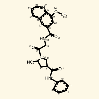 N#CC1CC(C(=O)Nc2ccccc2)CN1C(=O)CNC(=O)c1cc(OC(F)(F)F)c2ncccc2c1